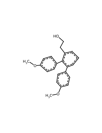 COc1ccc(-c2cc[c]c(CCO)c2-c2ccc(OC)cc2)cc1